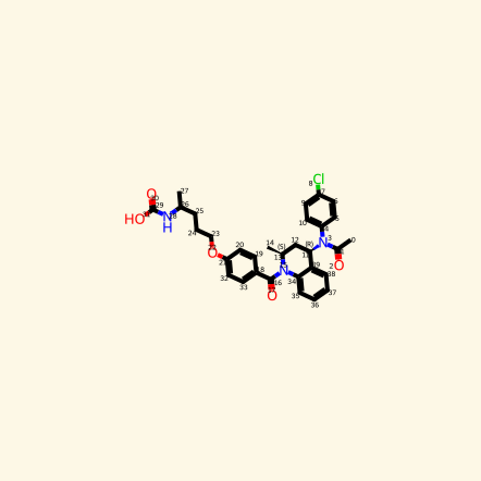 CC(=O)N(c1ccc(Cl)cc1)[C@@H]1C[C@H](C)N(C(=O)c2ccc(OCCCC(C)NC(=O)O)cc2)c2ccccc21